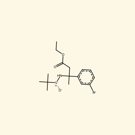 CCOC(=O)CC(C)(N[S@+]([O-])C(C)(C)C)c1cccc(Br)c1